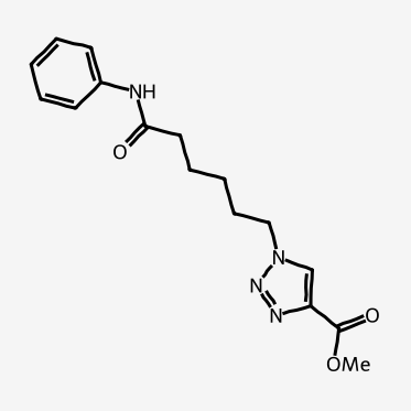 COC(=O)c1cn(CCCCCC(=O)Nc2ccccc2)nn1